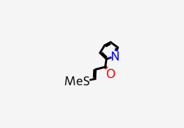 CSC=CC(=O)c1ccccn1